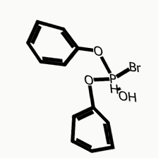 O[PH](Br)(Oc1ccccc1)Oc1ccccc1